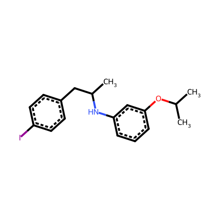 CC(Cc1ccc(I)cc1)Nc1cccc(OC(C)C)c1